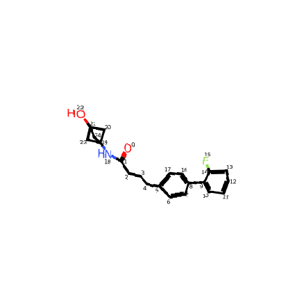 O=C(CCCc1ccc(-c2ccccc2F)cc1)NC12CC(O)(C1)C2